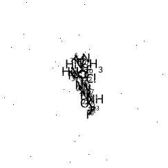 CC(NC1(C#N)CC1)c1c(F)c(Cl)c(-c2cn3cc(NC(=O)C4CC4F)nc3cn2)c2cn[nH]c12